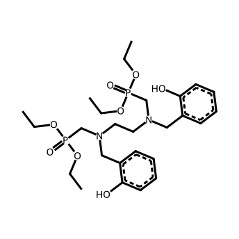 CCOP(=O)(CN(CCN(Cc1ccccc1O)CP(=O)(OCC)OCC)Cc1ccccc1O)OCC